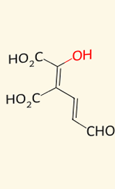 O=C/C=C/C(C(=O)O)=C(\O)C(=O)O